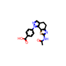 CC(=O)Nc1nc2c(s1)-c1c(cnn1-c1ccc(C(=O)O)cc1)CC2